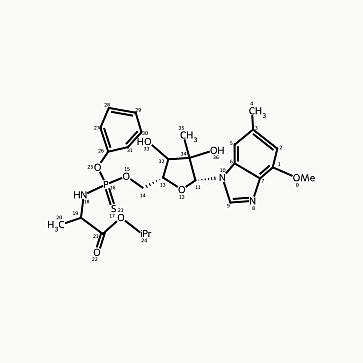 COc1cc(C)cc2c1ncn2[C@@H]1O[C@H](COP(=S)(NC(C)C(=O)OC(C)C)Oc2ccccc2)C(O)C1(C)O